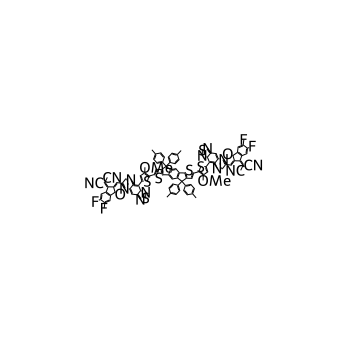 COc1cc(-c2c3ncc(/C=C4\C(=O)c5cc(F)c(F)cc5C4=C(C#N)C#N)nc3cc3nsnc23)sc1-c1cc2c(s1)-c1cc3c(cc1C2(c1ccc(C)cc1)c1ccc(C)cc1)-c1sc(-c2sc(-c4c5ncc(/C=C6\C(=O)c7cc(F)c(F)cc7C6=C(C#N)C#N)nc5cc5nsnc45)cc2OC)cc1C3(c1ccc(C)cc1)c1ccc(C)cc1